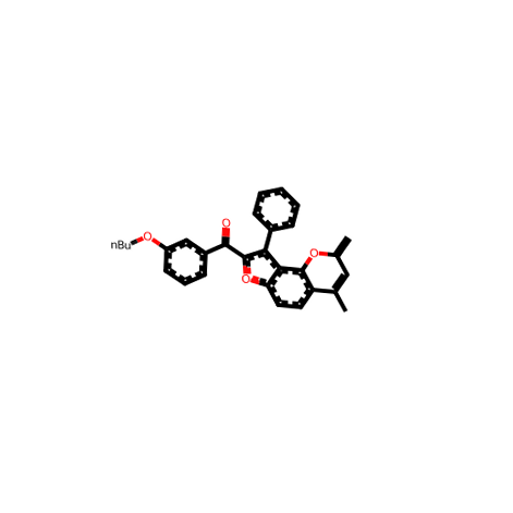 C=C1C=C(C)c2ccc3oc(C(=O)c4cccc(OCCCC)c4)c(-c4ccccc4)c3c2O1